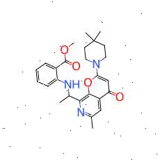 COC(=O)c1ccccc1NC(C)c1nc(C)cc2c(=O)cc(N3CCC(C)(C)CC3)oc12